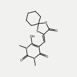 Cn1c(O)c(C=C2SC3(CCCCC3)OC2=O)c(=O)n(C)c1=O